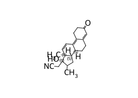 CC1C[C@H]2[C@@H]3CCC4=CC(=O)CCC4=C3C=C[C@]2(C)[C@]1(O)CC#N